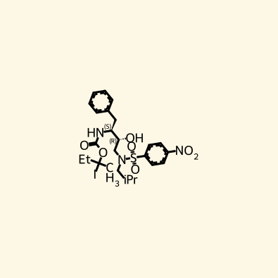 CCC(C)(I)OC(=O)N[C@@H](Cc1ccccc1)[C@H](O)CN(CC(C)C)S(=O)(=O)c1ccc([N+](=O)[O-])cc1